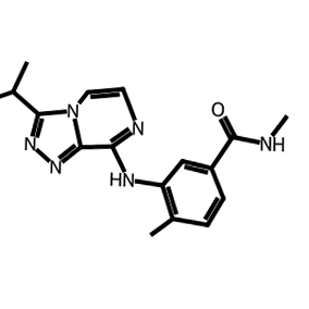 CNC(=O)c1ccc(C)c(Nc2nccn3c(C(C)C)nnc23)c1